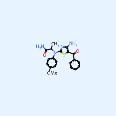 COc1ccc(N(c2nc(N)c(C(=O)c3ccccc3)s2)C(C)C(N)=O)cc1